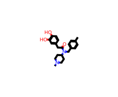 Cc1ccc(CN(C(=O)Cc2ccc(O)c(O)c2)C2CCN(C)CC2)cc1